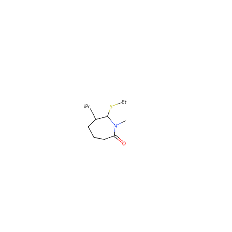 CCSC1C(C(C)C)CCCC(=O)N1C